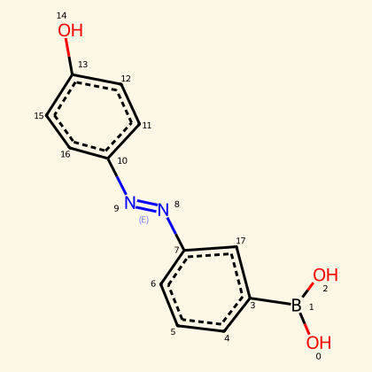 OB(O)c1cccc(/N=N/c2ccc(O)cc2)c1